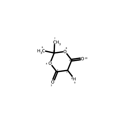 [2H]C1C(=O)OC(C)(C)OC1=O